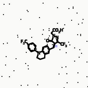 O=C(O)CN1N=C(C(F)(F)F)/C(=C/c2ccc3c(c2)CCCN3c2ccc(C(F)(F)F)cc2)C1=O